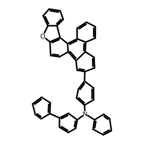 c1ccc(-c2cccc(N(c3ccccc3)c3ccc(-c4ccc5c6ccccc6c6c(ccc7oc8ccccc8c76)c5c4)cc3)c2)cc1